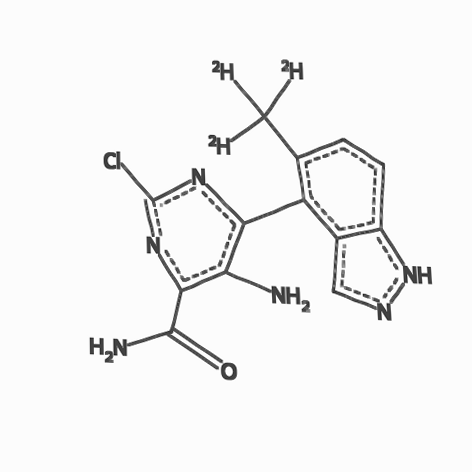 [2H]C([2H])([2H])c1ccc2[nH]ncc2c1-c1nc(Cl)nc(C(N)=O)c1N